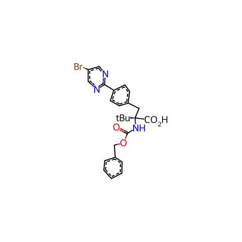 CC(C)(C)[C@](Cc1ccc(-c2ncc(Br)cn2)cc1)(NC(=O)OCc1ccccc1)C(=O)O